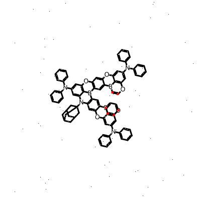 c1ccc(N(c2ccccc2)c2cc3c4c(c2)Oc2cc5c(cc2B4c2ccccc2O3)B2c3cc4c(cc3N(C36CC7CC(CC(C7)C3)C6)c3cc(N(c6ccccc6)c6ccccc6)cc(c32)O5)Oc2cc(N(c3ccccc3)c3ccccc3)cc3c2B4c2ccccc2O3)cc1